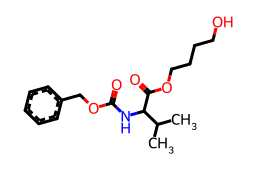 CC(C)C(NC(=O)OCc1ccccc1)C(=O)OCCCCO